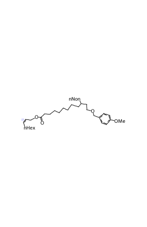 CCCCCC/C=C\COC(=O)CCCCCCCCC(CCCCCCCCC)CCOCc1ccc(OC)cc1